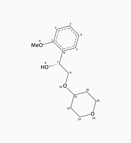 COc1ccccc1[C@@H](O)COC1CCOCC1